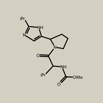 COC(=O)NC(C(=O)N1CCCC1c1cnc(C(C)C)[nH]1)C(C)C